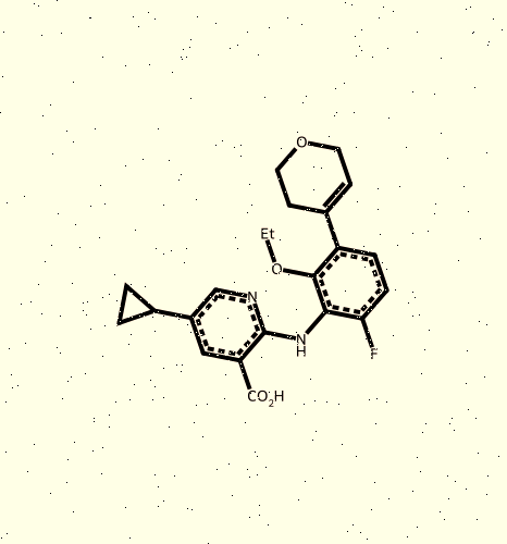 CCOc1c(C2=CCOCC2)ccc(F)c1Nc1ncc(C2CC2)cc1C(=O)O